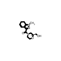 Cn1nc(C(=O)N2CCO[C@H](CO)C2)c2c1CCC=C2